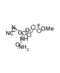 COc1cccc(-c2cccc3c2CC[C@@H]3Oc2cc(OCc3cncc(C#N)c3)c(CNCCC(N)=O)cc2Cl)c1F